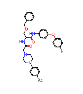 CC(=O)c1ccc(N2CCN(CC(=O)NC(COCc3ccccc3)C(=O)Nc3ccc(Oc4ccc(F)cc4)cc3)CC2)cc1